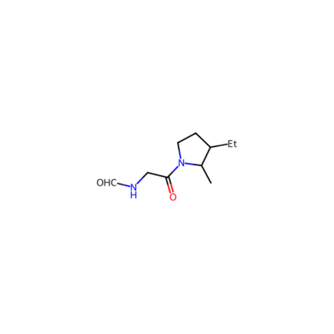 CCC1CCN(C(=O)CNC=O)C1C